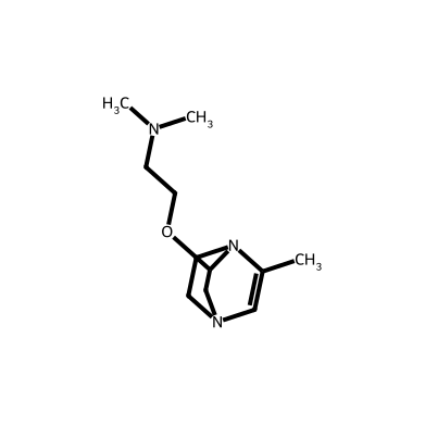 CC1=CN2CCN1C(OCCN(C)C)C2